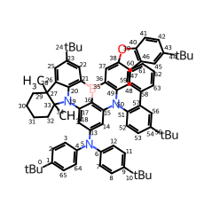 CC(C)(C)c1ccc(N(c2ccc(C(C)(C)C)cc2)c2cc3c4c(c2)N2c5c(cc(C(C)(C)C)cc5C5(C)CCCCC25C)B4c2cc4oc5ccc(C(C)(C)C)cc5c4cc2N3c2ccc(C(C)(C)C)cc2-c2ccccc2)cc1